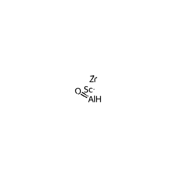 [O]=[AlH].[Sc].[Zr]